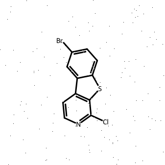 Clc1nccc2c1sc1ccc(Br)cc12